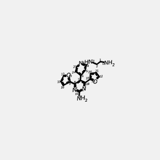 NCCNc1cc(-c2c(-c3ccco3)nc(N)nc2-c2ccco2)ccn1